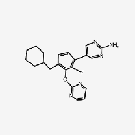 Nc1ncc(-c2ccc(CC3CCCCC3)c(Oc3ncccn3)c2F)cn1